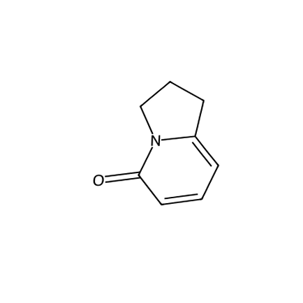 O=c1cccc2n1CCC2